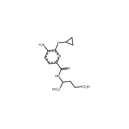 CCOC(=O)CCC(NC(=O)c1ccc(N)c(OC2CC2)n1)C(=O)OCC